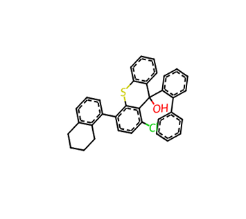 OC1(c2ccccc2-c2ccccc2)c2ccccc2Sc2c(-c3cccc4c3CCCC4)ccc(Cl)c21